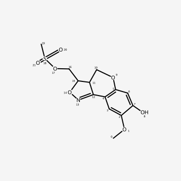 COc1cc2c(cc1O)OCC1C2=NOC1COS(C)(=O)=O